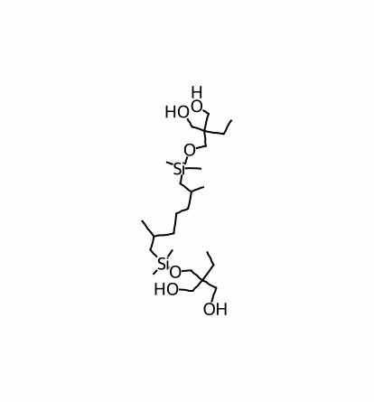 CCC(CO)(CO)CO[Si](C)(C)CC(C)CCCC(C)C[Si](C)(C)OCC(CC)(CO)CO